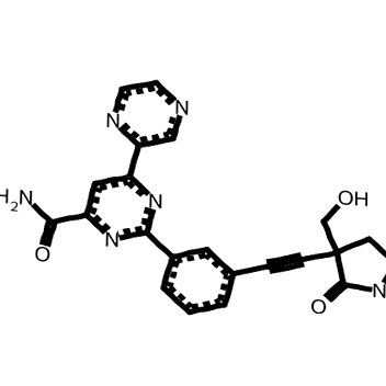 NC(=O)c1cc(-c2cnccn2)nc(-c2cccc(C#CC3(CO)CCNC3=O)c2)n1